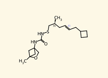 C[C@@H](C/C=C/CC1CCC1)CSNC(=O)NC12COC(C)(C1)C2